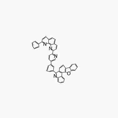 c1ccc(-c2ccc3ccc4ccc(-c5ccc(-c6cccc(-c7nc8ccccc8c8c7ccc7c9ccccc9oc78)c6)cn5)nc4c3n2)cc1